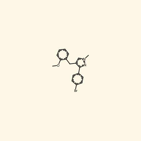 COc1ccccc1Cc1cn(C)nc1-c1ccc(Br)cc1